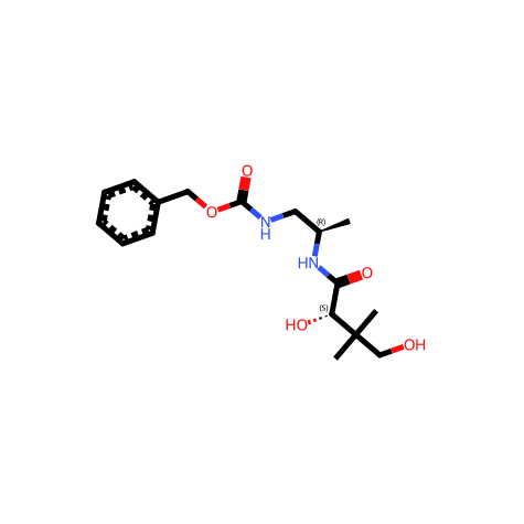 C[C@H](CNC(=O)OCc1ccccc1)NC(=O)[C@@H](O)C(C)(C)CO